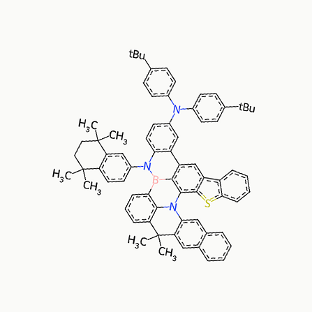 CC(C)(C)c1ccc(N(c2ccc(C(C)(C)C)cc2)c2ccc3c(c2)-c2cc4c(sc5ccccc54)c4c2B(c2cccc5c2N4c2cc4ccccc4cc2C5(C)C)N3c2ccc3c(c2)C(C)(C)CCC3(C)C)cc1